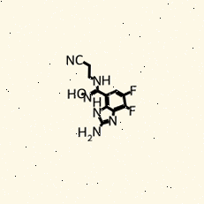 N#CCCNC(=NO)c1cc(F)c(F)c2nc(N)[nH]c12